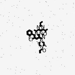 C=CC(=O)N1C[C@H](C)N(c2nc(=O)n(-c3c(C(C)C)nc(CC)nc3C(C)C)c3nc(-c4ccccc4F)c(Cl)cc23)C[C@H]1C